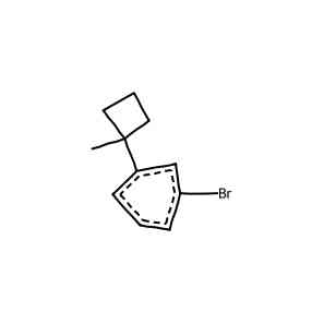 CC1(c2cccc(Br)c2)CCC1